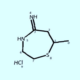 CC1CC(=N)NCCS1.Cl